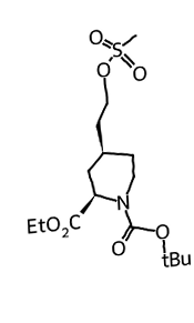 CCOC(=O)[C@H]1C[C@@H](CCOS(C)(=O)=O)CCN1C(=O)OC(C)(C)C